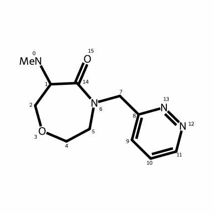 CNC1COCCN(Cc2cccnn2)C1=O